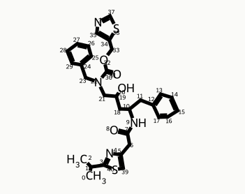 CC(C)c1nc(CC(=O)NC(Cc2ccccc2)CC(O)CN(Cc2ccccc2)C(=O)OCc2cncs2)cs1